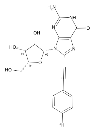 [3H]c1ccc(C#Cc2nc3c(=O)[nH]c(N)nc3n2[C@@H]2O[C@H](CO)[C@H](O)C2O)cc1